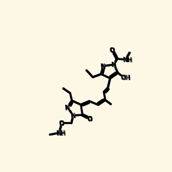 CCC1=NN(CONC)C(=O)C1=CC=C(C)C=Cc1c(CC)nn(C(=O)NC)c1O